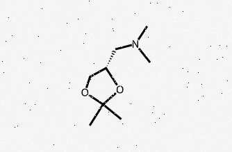 CN(C)C[C@H]1COC(C)(C)O1